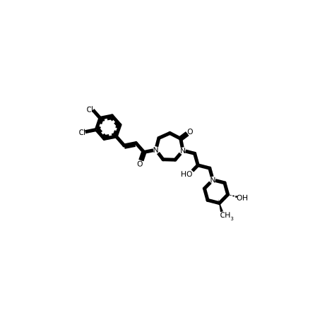 C[C@H]1CCN(CC(O)CN2CCN(C(=O)/C=C/c3ccc(Cl)c(Cl)c3)CCC2=O)C[C@@H]1O